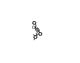 Cc1ccc(Sc2ccccc2N2CCN(C(=O)Cc3ccccc3)CC2)c(C)c1